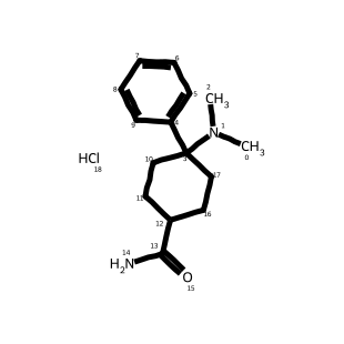 CN(C)C1(c2ccccc2)CCC(C(N)=O)CC1.Cl